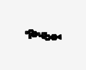 O=C1CCc2cc(OCC(O)CN3CCN(c4ccc(C5CC5)cc4)CC3)ccc2N1